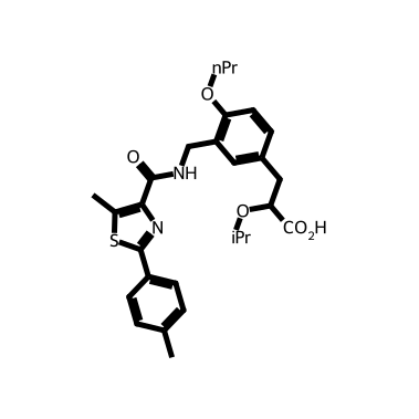 CCCOc1ccc(CC(OC(C)C)C(=O)O)cc1CNC(=O)c1nc(-c2ccc(C)cc2)sc1C